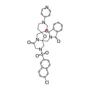 O=C1c2ccccc2C(=O)N1CC12CN(S(=O)(=O)c3ccc4cc(Cl)ccc4c3)CC(=O)N1CC1(CCN(c3ccncc3)CC1)O2